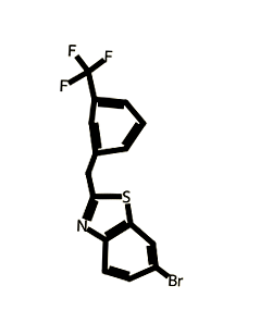 FC(F)(F)c1cccc(Cc2nc3ccc(Br)cc3s2)c1